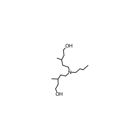 CCCCN(CCC(C)CCO)CCC(C)CCO